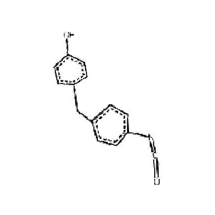 O=C=Nc1ccc(Cc2ccc(O)cc2)cc1